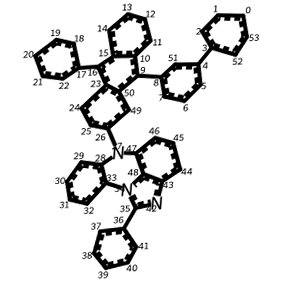 c1ccc(-c2cccc(-c3c4ccccc4c(-c4ccccc4)c4ccc(N5c6ccccc6-n6c(-c7ccccc7)nc7cccc5c76)cc34)c2)cc1